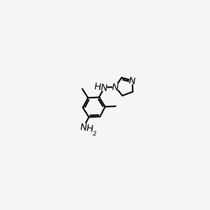 Cc1cc(N)cc(C)c1NN1C=NCC1